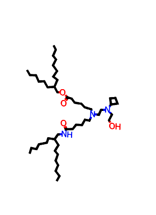 CCCCCCCCC(CCCCCC)CNC(=O)CCCCCN(CCCCCC(=O)OCC(CCCCCC)CCCCCCCC)CCN(CCO)C1CCC1